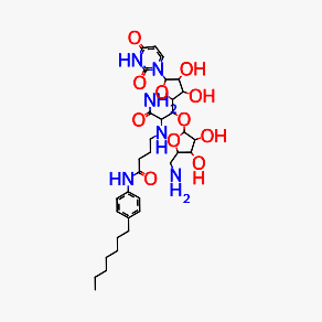 CCCCCCCc1ccc(NC(=O)CCCNC(C(N)=O)C(OC2OC(CN)C(O)C2O)C2OC(n3ccc(=O)[nH]c3=O)C(O)C2O)cc1